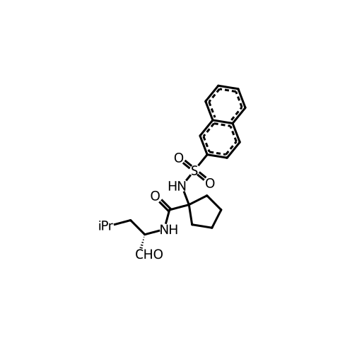 CC(C)C[C@@H](C=O)NC(=O)C1(NS(=O)(=O)c2ccc3ccccc3c2)CCCC1